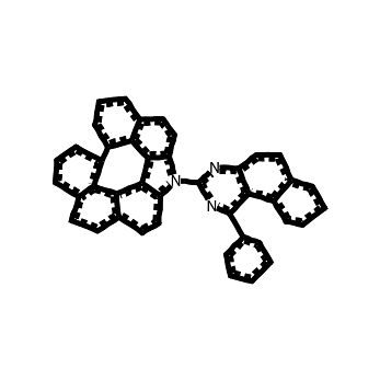 c1ccc(-c2nc(-n3c4ccc5cccc6c5c4c4c5c(ccc7cccc-6c75)ccc43)nc3ccc4ccccc4c23)cc1